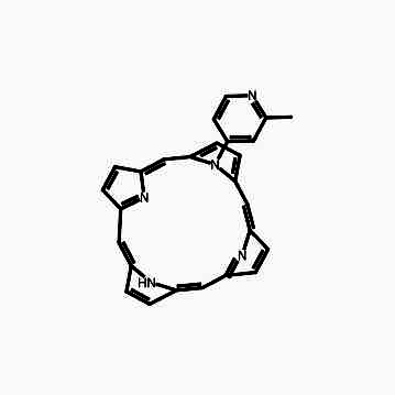 Cc1cc(-n2c3ccc2cc2nc(cc4ccc(cc5nc(c3)C=C5)[nH]4)C=C2)ccn1